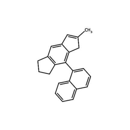 CC1=Cc2cc3c(c(-c4cccc5ccccc45)c2C1)CCC3